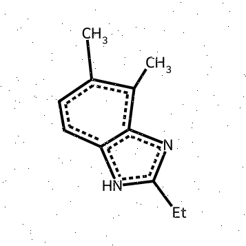 CCc1nc2c(C)c(C)ccc2[nH]1